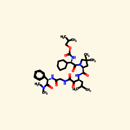 CC(C)COC(=O)N[C@H](C(=O)N1CC(C)(C)C[C@H]1C(=O)N[C@@H](CC(C)C)C(=O)C(=O)NCC(=O)N[C@H](C(=O)N(C)C)c1ccccc1)C1CCCCC1